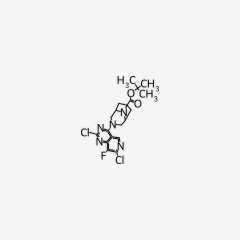 CC(C)(C)OC(=O)C12CC3CN(c4nc(Cl)nc5c(F)c(Cl)ncc45)CC(C1)N32